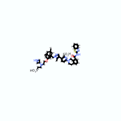 Cc1c(-c2ccc(N3CCc4cccc(C(=O)Nc5nc6ccccc6s5)c4C3)nc2C(=O)O)cnn1CC12CC3(C)CC(C)(C1)CC(OCCN(CCS(=O)(=O)O)C1CNC1)(C3)C2